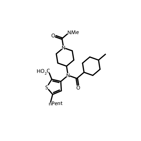 CCCCCc1cc(N(C(=O)C2CCC(C)CC2)C2CCN(C(=O)NC)CC2)c(C(=O)O)s1